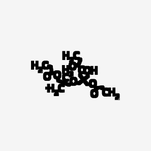 [CH2]C([CH2])(COCC(CO)(COC(=O)C=C)COC(=O)C=C)COC(=O)C=C